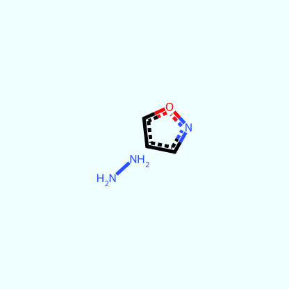 NN.c1cnoc1